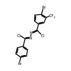 FC(F)(F)c1cc(/C(Cl)=N/N=C(\Cl)c2ccc(Br)cc2)ccc1Br